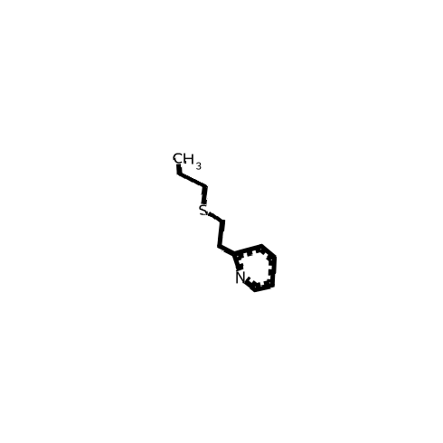 CCCSCCc1ccccn1